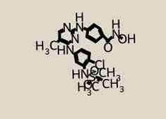 Cc1cnc(Nc2ccc(C(=O)NO)cc2)nc1Nc1ccc(Cl)c(NS(=O)(=O)C(C)(C)C)c1